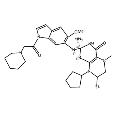 CCC1CN(C)C2=C(N[C@@](N)(Nc3cc4c(ccn4C(=O)CN4CCCCC4)cc3OC)NC2=O)N1C1CCCC1